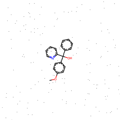 COc1ccc(C(O)(c2ccccc2)c2ccccn2)cc1